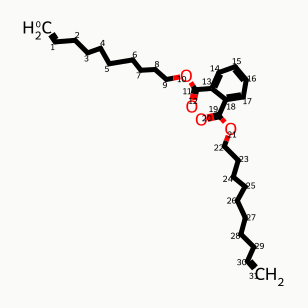 C=CCCCCCCCCOC(=O)c1ccccc1C(=O)OCCCCCCCCC=C